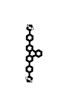 c1ccc2c(c1)c1cc(-c3ccc(-c4cnco4)cc3)ccc1c1ccc(-c3ccc(-c4cnco4)cc3)cc21